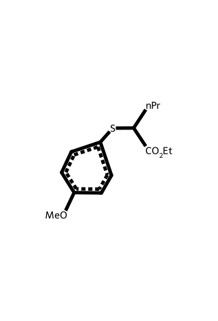 CCCC(Sc1ccc(OC)cc1)C(=O)OCC